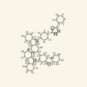 c1ccc(-c2nnc(-c3ccc(-n4c5ccccc5c5ccc(-c6cc7c(cc6-n6c8ccccc8c8ccccc86)oc6ccccc67)cc54)cc3)o2)cc1